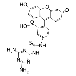 Nc1nc(N)nc(NC(=S)Nc2ccc(-c3c4ccc(=O)cc-4oc4cc(O)ccc34)c(C(=O)O)c2)n1